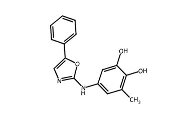 Cc1cc(Nc2ncc(-c3ccccc3)o2)cc(O)c1O